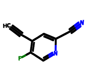 C#Cc1cc(C#N)ncc1F